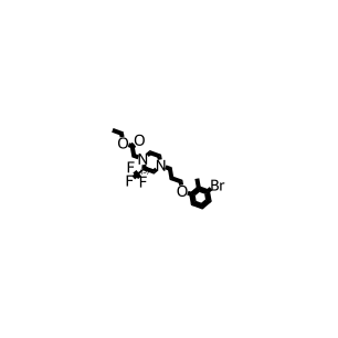 CCOC(=O)CN1CCN(CCCOc2cccc(Br)c2C)C[C@H]1C(F)(F)F